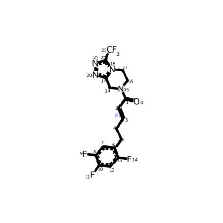 O=C(/C=C/CCc1cc(F)c(F)cc1F)N1CCn2c(nnc2C(F)(F)F)C1